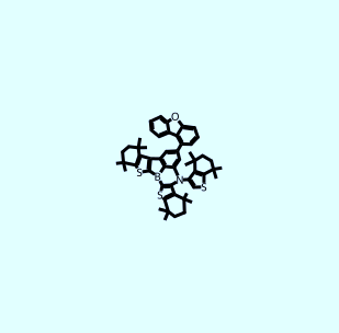 CC1(C)CCC(C)(C)c2c(N3c4cc(-c5cccc6oc7ccccc7c56)cc5c4B(c4sc6c(c4-5)C(C)(C)CCC6(C)C)c4sc5c(c43)C(C)(C)CCC5(C)C)csc21